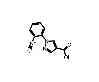 [C-]#[N+]c1ccccc1-n1cc(C(=O)O)cn1